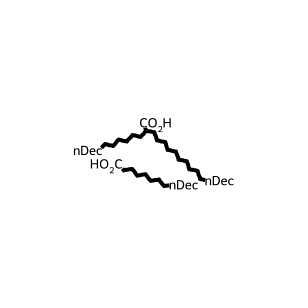 CCCCCCCCCCCCCCCCCC(=O)O.CCCCCCCCCCCCCCCCCCCCC(CCCCCCCCCCCCCCCC)C(=O)O